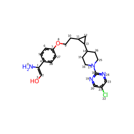 N/C(=C\O)c1ccc(OCCC2CC2C2CCN(c3ncc(Cl)cn3)CC2)cc1